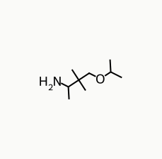 CC(C)OCC(C)(C)C(C)N